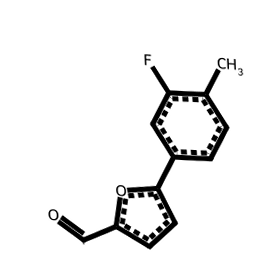 Cc1ccc(-c2ccc([C]=O)o2)cc1F